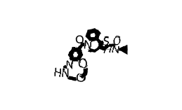 O=C(NC1CC1)c1cc2c(s1)-c1ccccc1N(C(=O)c1ccc3c(c1)OCCOCCN/C=N/3)CC2